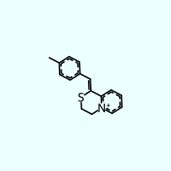 Cc1ccc(/C=C2\SCC[n+]3ccccc32)cc1